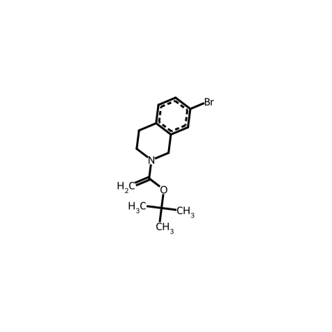 C=C(OC(C)(C)C)N1CCc2ccc(Br)cc2C1